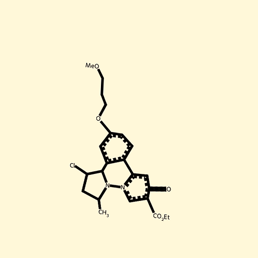 CCOC(=O)c1cn2c(cc1=O)-c1ccc(OCCCOC)cc1C1C(Cl)CC(C)N12